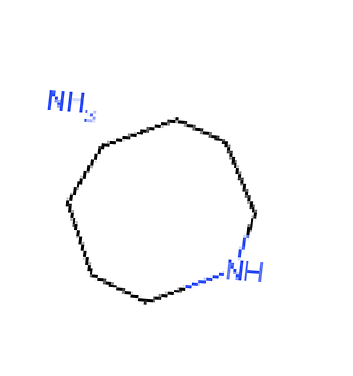 C1CCCNCCC1.N